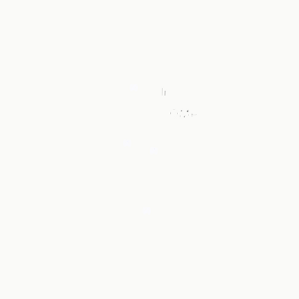 C1=C\CC/C=C\CC/1.C1=C\CC/C=C\CC/1.C[O][Ir]